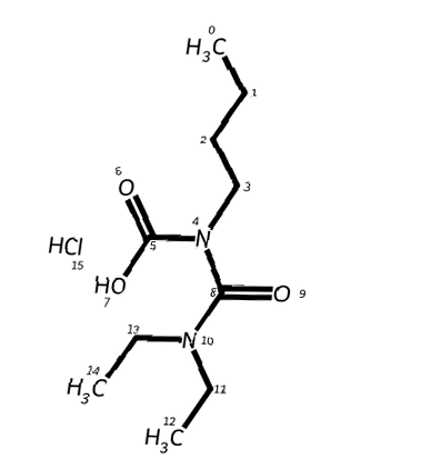 CCCCN(C(=O)O)C(=O)N(CC)CC.Cl